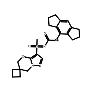 CS(=O)(=NC(=O)Nc1c2c(cc3c1CCC3)CCC2)c1cnn2c1OCC1(CCC1)C2